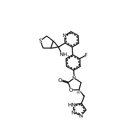 NC1(c2ncccc2-c2ccc(N3C[C@@H](Cc4cnn[nH]4)OC3=O)cc2F)C2CSCC21